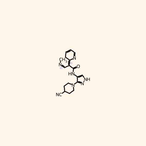 C/N=C\C(C(=O)Nc1c[nH]nc1N1CCC(C#N)CC1)=C1/CC=CC=N1